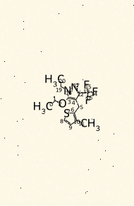 CCOc1c(Cc2sccc2C)c(C(F)(F)F)nn1CC